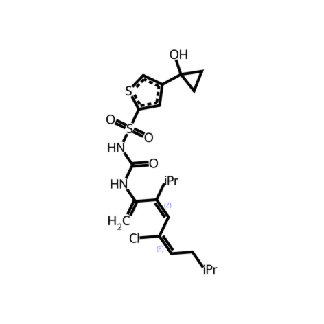 C=C(NC(=O)NS(=O)(=O)c1cc(C2(O)CC2)cs1)/C(=C\C(Cl)=C/CC(C)C)C(C)C